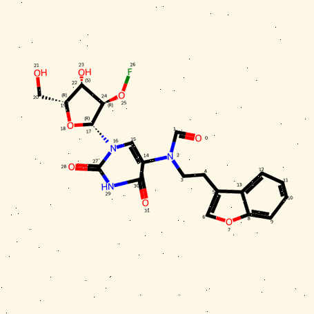 O=CN(CCc1coc2ccccc12)c1cn([C@@H]2O[C@H](CO)[C@H](O)[C@H]2OF)c(=O)[nH]c1=O